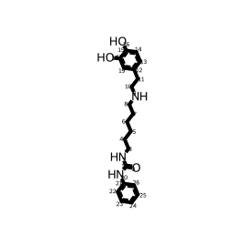 O=C(NCCCCCCNCCc1ccc(O)c(O)c1)Nc1ccccc1